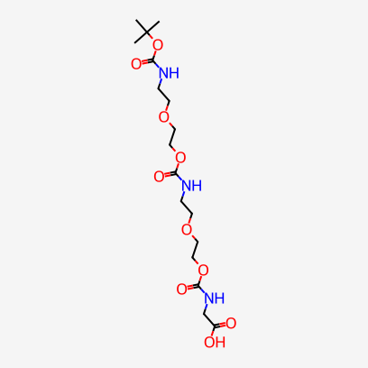 CC(C)(C)OC(=O)NCCOCCOC(=O)NCCOCCOC(=O)NCC(=O)O